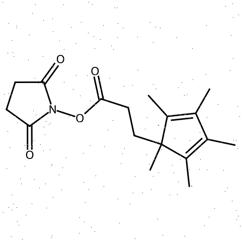 CC1=C(C)C(C)(CCC(=O)ON2C(=O)CCC2=O)C(C)=C1C